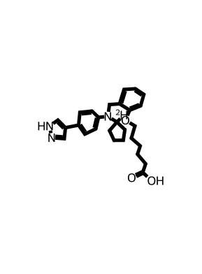 [2H]C1(N(Cc2ccccc2OCCCCCC(=O)O)c2ccc(-c3cn[nH]c3)cc2)CCCC1